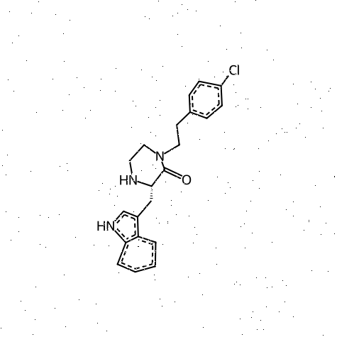 O=C1[C@H](Cc2c[nH]c3ccccc23)NCCN1CCc1ccc(Cl)cc1